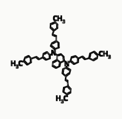 Cc1ccc(/C=C/c2ccc(N(c3ccc(/C=C/c4ccc(C)cc4)cc3)c3ccc(N(c4ccc(/C=C/c5ccc(C)cc5)cc4)c4ccc(/C=C/c5ccc(C)cc5)cc4)c4ccccc34)cc2)cc1